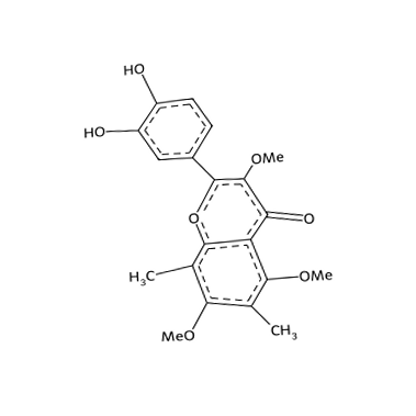 COc1c(C)c(OC)c2c(=O)c(OC)c(-c3ccc(O)c(O)c3)oc2c1C